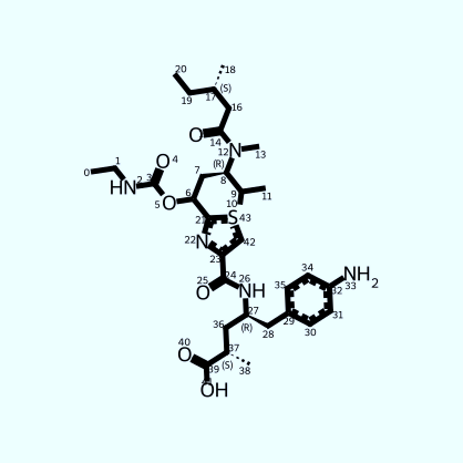 CCNC(=O)OC(C[C@H](C(C)C)N(C)C(=O)C[C@@H](C)CC)c1nc(C(=O)N[C@@H](Cc2ccc(N)cc2)C[C@H](C)C(=O)O)cs1